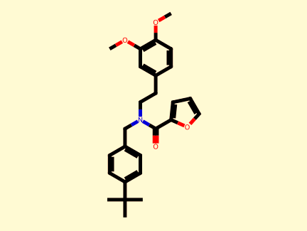 COc1ccc(CCN(Cc2ccc(C(C)(C)C)cc2)C(=O)c2ccco2)cc1OC